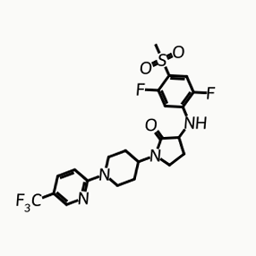 CS(=O)(=O)c1cc(F)c(NC2CCN(C3CCN(c4ccc(C(F)(F)F)cn4)CC3)C2=O)cc1F